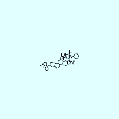 CN1Cc2ccccc2NC(C(C)(C(=O)O)C2=c3ccc4c(c3CCC2)CC=c2cc(C(=O)OC(C)(C)C)ccc2=4)C1=O